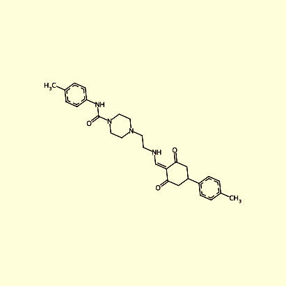 Cc1ccc(NC(=O)N2CCN(CCNC=C3C(=O)CC(c4ccc(C)cc4)CC3=O)CC2)cc1